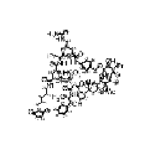 CC[C@H](C)[C@@H]([C@@H](CC(=O)N1CCC[C@H]1[C@H](OC)[C@@H](C)C(=O)N[C@H](C)[C@@H](O)c1ccccc1)OC)N(C)C(=O)[C@@H](NC(=O)[C@H](C(C)C)N(C)C(=O)OCc1ccc(NC(=O)[C@H](CCCNC(N)=O)NC(=O)[C@@H](NC(=O)[C@H](CCC(=O)NCCCCCN2C(=O)C=CC2=O)NC(=O)CCC(=O)O)C(C)C)cc1)C(C)C